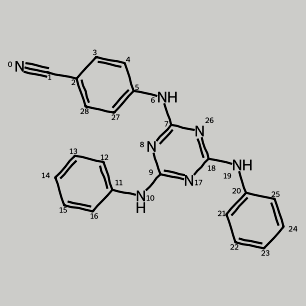 N#Cc1ccc(Nc2nc(Nc3ccccc3)nc(Nc3ccccc3)n2)cc1